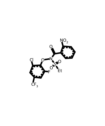 CCS(=O)(=O)N(Oc1c(F)cc(C(F)(F)F)cc1Cl)C(=O)c1ccccc1[N+](=O)[O-]